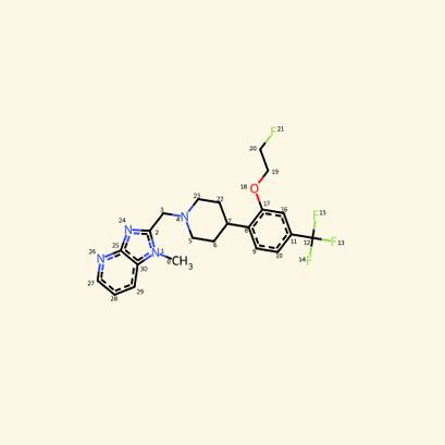 Cn1c(CN2CCC(c3ccc(C(F)(F)F)cc3OCCF)CC2)nc2ncccc21